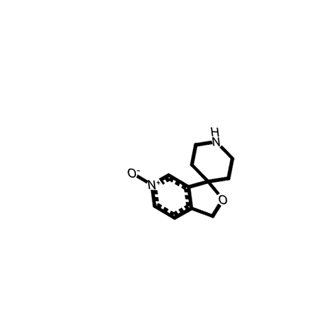 [O-][n+]1ccc2c(c1)C1(CCNCC1)OC2